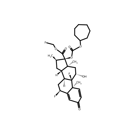 C[C@@H]1C[C@H]2[C@@H]3C[C@H](F)C4=CC(=O)C=C[C@]4(C)[C@@]3(F)[C@@H](O)C[C@]2(C)[C@@]1(OC(=O)OC1CCCCCC1)C(=O)OCF